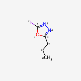 CCCc1nnc(I)o1